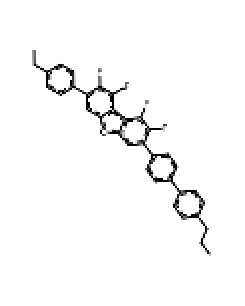 CCCc1ccc(-c2ccc(-c3cc4oc5cc(-c6ccc(CC)cc6)c(F)c(F)c5c4c(F)c3F)cc2)cc1